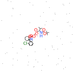 CC(C)C(NC(=O)OC(C)(C)C)C(=O)OCOC(=O)N(C)[C@]1(c2ccccc2Cl)CCCCC1=O